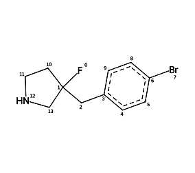 FC1(Cc2ccc(Br)cc2)CCNC1